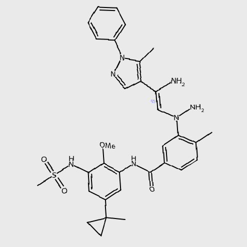 COc1c(NC(=O)c2ccc(C)c(N(N)/C=C(\N)c3cnn(-c4ccccc4)c3C)c2)cc(C2(C)CC2)cc1NS(C)(=O)=O